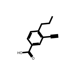 C#Cc1cc(C(=O)O)ccc1CCC